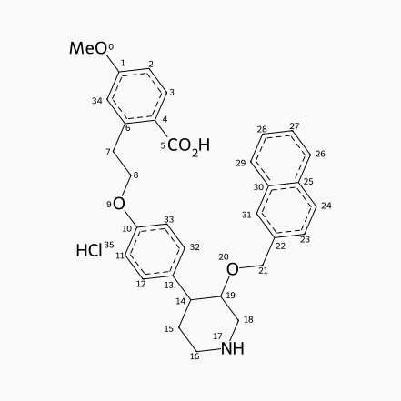 COc1ccc(C(=O)O)c(CCOc2ccc(C3CCNCC3OCc3ccc4ccccc4c3)cc2)c1.Cl